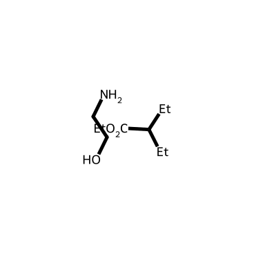 CCOC(=O)C(CC)CC.NCCO